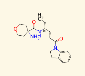 CC[C@@H](C=CC(=O)N1CCc2ccccc21)NC(=O)C1(N)CCOCC1